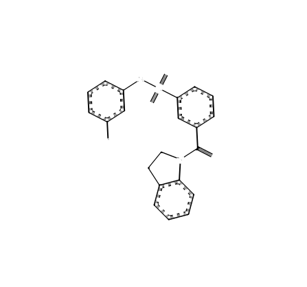 O=C(c1cccc(S(=O)(=O)Nc2cccc(Cl)c2)c1)N1CCc2ccccc21